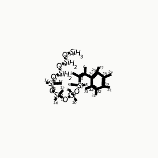 CC(=C(C)[Si](C)(C)O[Si](C)(C)O[Si](C)(C)O[Si](C)(C)O[SiH2]O[SiH2]O[SiH3])c1c(C)c(C)c(C)c(C)c1C